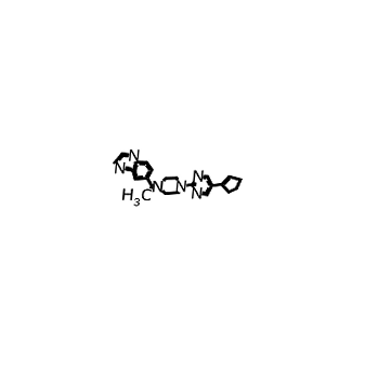 CC(c1ccc2nccnc2c1)N1CCN(c2ncc(C3=CCCC3)cn2)CC1